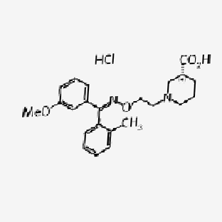 COc1cccc(C(=NOCCN2CCC[C@@H](C(=O)O)C2)c2ccccc2C)c1.Cl